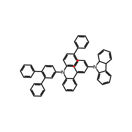 C1=CC2c3ccccc3N(c3cccc(-c4ccccc4N(c4ccc(-c5ccccc5)cc4)c4ccc(-c5ccccc5)c(-c5ccccc5)c4)c3)C2C=C1